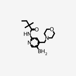 Bc1cnc(NC(=O)C(C)(C)CC)cc1CN1CCOCC1